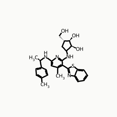 Cc1ccc([C@@H](C)Nc2cc(C)c(-c3nc4ccccc4s3)c(NC3C[C@H](CO)[C@@H](O)[C@H]3O)n2)cc1